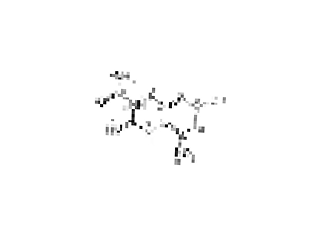 N=C(NC(N)=O)Nc1c(Cl)cc(Cl)cc1[N+](=O)[O-]